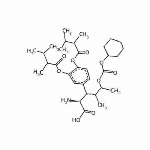 CC(C)C(C)C(=O)Oc1ccc(C(C(C)C(C)OC(=O)OC2CCCCC2)[C@H](N)C(=O)O)cc1OC(=O)C(C)C(C)C